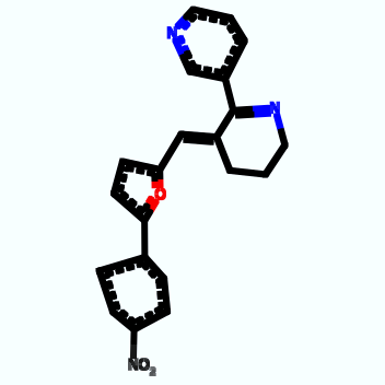 O=[N+]([O-])c1ccc(-c2ccc(C=C3CCCN=C3c3cccnc3)o2)cc1